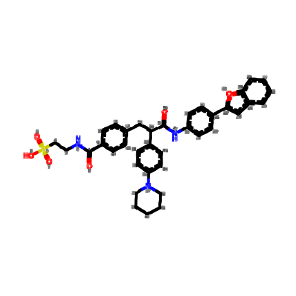 O=C(NCCS(=O)(=O)O)c1ccc(CC(C(=O)Nc2ccc(-c3cc4ccccc4o3)cc2)c2ccc(N3CCCCC3)cc2)cc1